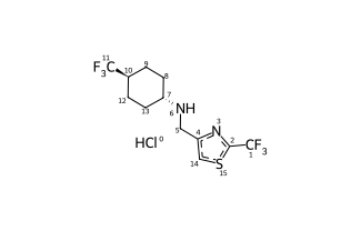 Cl.FC(F)(F)c1nc(CN[C@H]2CC[C@H](C(F)(F)F)CC2)cs1